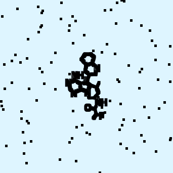 C=C(F)C(=O)N[C@H]1C=C(C)c2c(-c3cnc4ccccc4c3)c3c(N)ncnc3n2C1